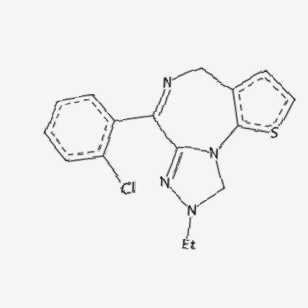 CCN1CN2C(=N1)C(c1ccccc1Cl)=NCc1ccsc12